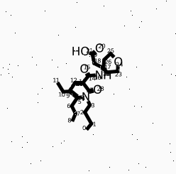 CCCCn1c(CCC)c(CC)cc(C(=O)NC2(CC(=O)O)CCOCC2)c1=O